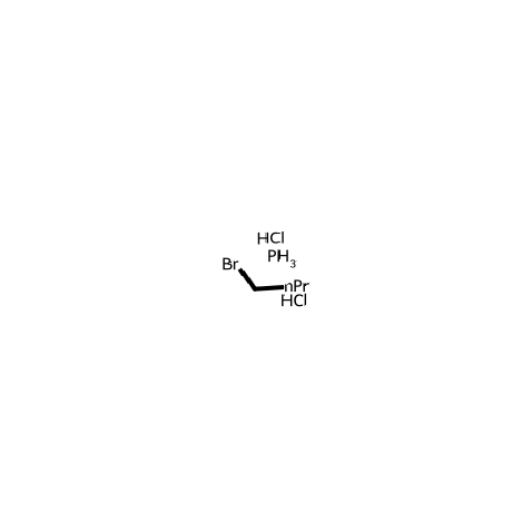 CCCCBr.Cl.Cl.P